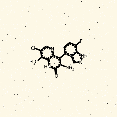 Cc1c(Cl)cnc2c(-c3ccc(F)c4[nH]ncc34)c(N)c(=O)[nH]c12